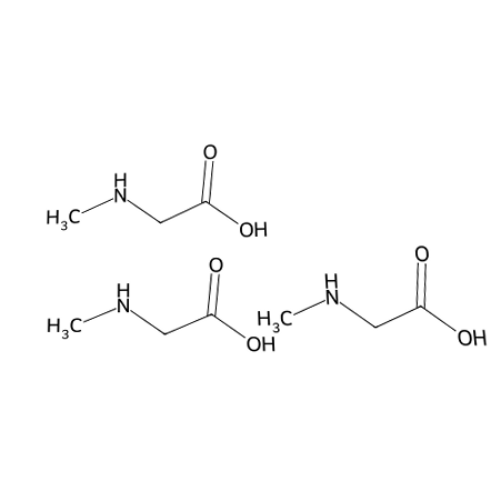 CNCC(=O)O.CNCC(=O)O.CNCC(=O)O